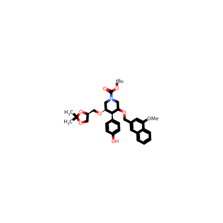 COc1cc(COC2CN(C(=O)OC(C)(C)C)C[C@@H](OC[C@H]3COC(C)(C)O3)[C@@H]2c2ccc(O)cc2)cc2ccccc12